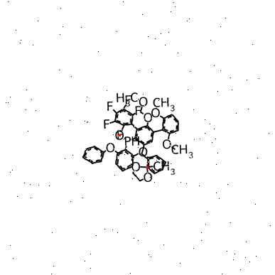 COCOc1c(-c2c(OC)cccc2OC)cc(CCC2(C)OCCO2)c([PH](=O)c2c(Oc3ccccc3)cccc2Oc2ccccc2)c1-c1c(F)c(F)c(F)c(F)c1F